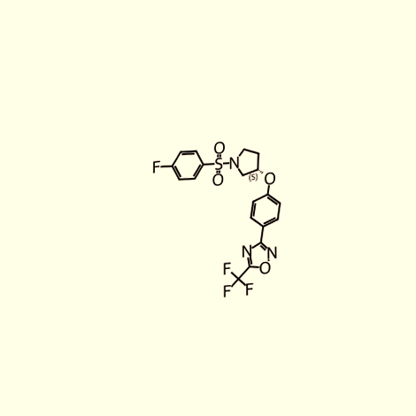 O=S(=O)(c1ccc(F)cc1)N1CC[C@H](Oc2ccc(-c3noc(C(F)(F)F)n3)cc2)C1